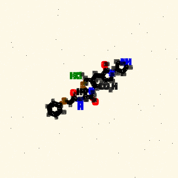 Cl.O=C(CSc1ccccc1)N[C@@H]1C(=O)N2C(C(=O)O)=C(C=C3CCN([C@@H]4CCNC4)C3=O)CS[C@H]12